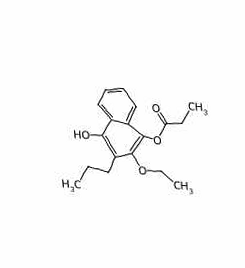 CCCc1c(OCC)c(OC(=O)CC)c2ccccc2c1O